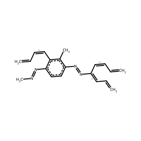 C=C/C=C\C(=C/C=C)N=Nc1ccc(N=NC)c(/C=C\C=C)c1C